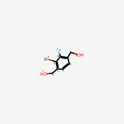 OCc1ccc(CO)c(Br)c1F